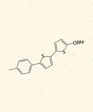 COc1ccc(-c2ccc(-c3ccc(C)cc3)s2)s1